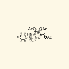 CC(=O)OC[C@H]1O[C@H](Cl)[C@H](NC(=O)c2ccccc2)[C@@H](OC(C)=O)[C@@H]1OC(C)=O